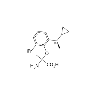 CC(C)c1cccc([C@H](C)C2CC2)c1OC(C)(N)C(=O)O